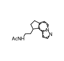 CC(=O)NCCC1CCc2ccn3nccc3c21